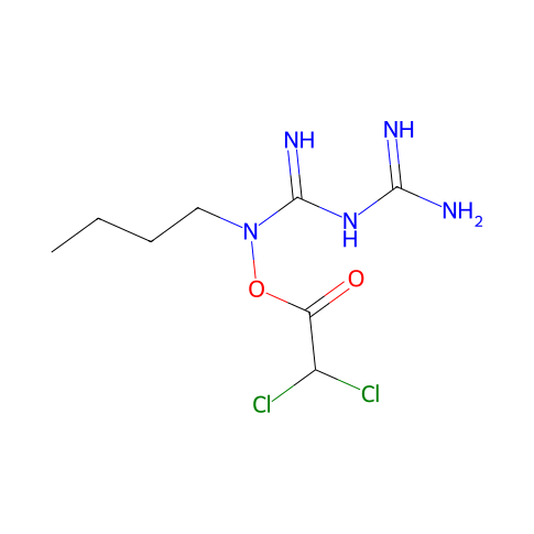 CCCCN(OC(=O)C(Cl)Cl)C(=N)NC(=N)N